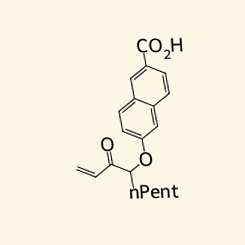 C=CC(=O)C(CCCCC)Oc1ccc2cc(C(=O)O)ccc2c1